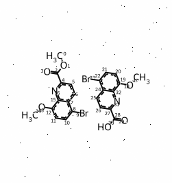 COC(=O)c1ccc2c(Br)ccc(OC)c2n1.COc1ccc(Br)c2ccc(C(=O)O)nc12